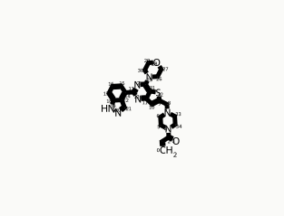 C=CC(=O)N1CCN(Cc2cc3nc(-c4cccc5[nH]ncc45)nc(N4CCOCC4)c3s2)CC1